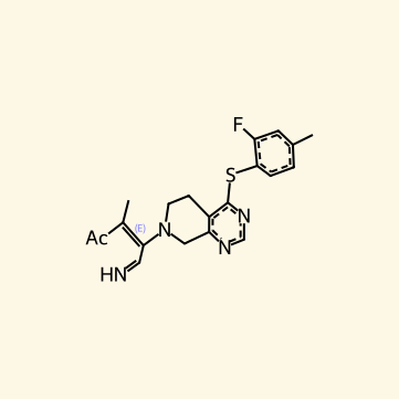 CC(=O)/C(C)=C(\C=N)N1CCc2c(ncnc2Sc2ccc(C)cc2F)C1